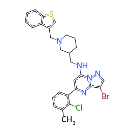 Cc1cccc(-c2cc(NCC3CCCN(Cc4csc5ccccc45)C3)n3ncc(Br)c3n2)c1Cl